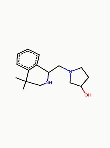 CC1(C)CNC(CN2CCC(O)C2)c2ccccc21